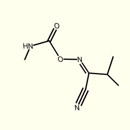 CNC(=O)ON=C(C#N)C(C)C